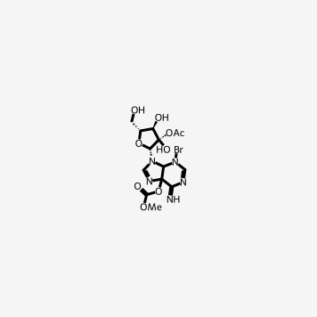 COC(=O)OC12N=CN([C@@H]3O[C@H](CO)[C@@H](O)[C@]3(O)OC(C)=O)C1N(Br)C=NC2=N